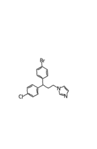 Clc1ccc(C(CCn2ccnc2)c2ccc(Br)cc2)cc1